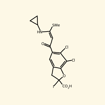 CSC(=CC(=O)c1cc2c(c(Cl)c1Cl)OC(I)(C(=O)O)C2)NC1CC1